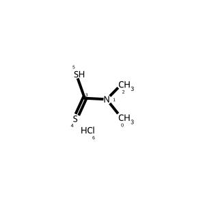 CN(C)C(=S)S.Cl